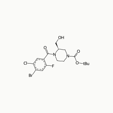 CC(C)(C)OC(=O)N1CCN(C(=O)c2cc(Cl)c(Br)cc2F)[C@@H](CO)C1